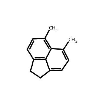 Cc1ccc2c3c(ccc(C)c13)CC2